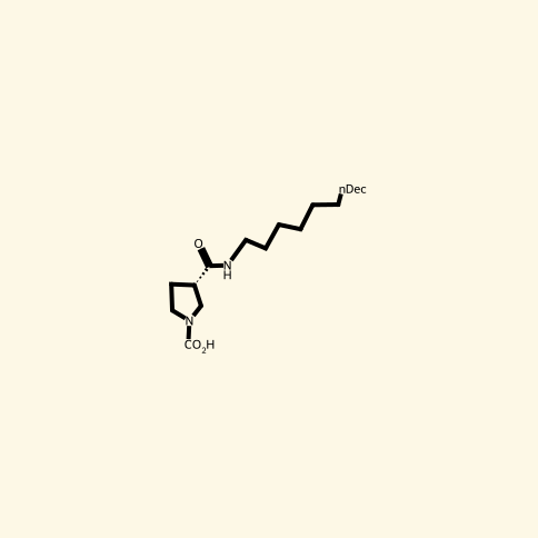 CCCCCCCCCCCCCCCCNC(=O)[C@H]1CCN(C(=O)O)C1